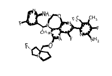 Cc1c(F)c(N)nc(-c2nc3c4c(nc(OC[C@@]56CCCN5C[C@H](F)C6)nc4c2F)N([C@H](C)c2cc(F)cnc2N)CCO3)c1C(F)(F)F